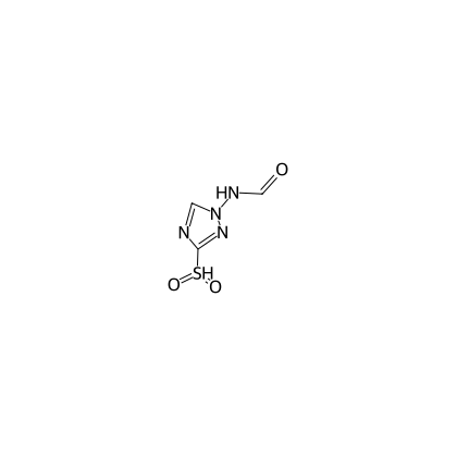 O=CNn1cnc([SH](=O)=O)n1